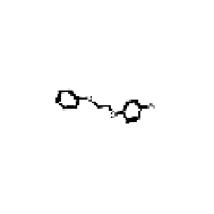 CC(=O)c1ccc(OCCOc2ccccc2)cc1